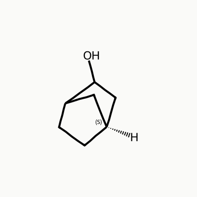 OC1C[C@H]2CCC1C2